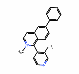 Cc1cnccc1-c1c2ccc(-c3ccccc3)cc2cc[n+]1C